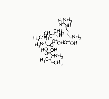 CC(C)C[C@H](N)C(=O)O.CC(C)[C@H](N)C(=O)O.CCC(C)[C@H](N)C(=O)O.N=C(N)NCCC[C@H](N)C(=O)O